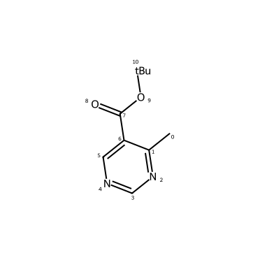 Cc1ncncc1C(=O)OC(C)(C)C